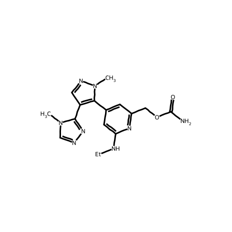 CCNc1cc(-c2c(-c3nncn3C)cnn2C)cc(COC(N)=O)n1